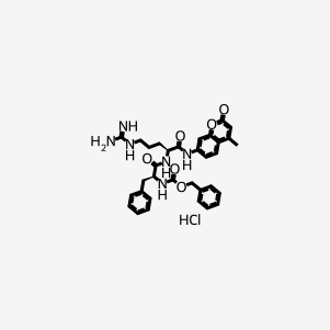 Cc1cc(=O)oc2cc(NC(=O)[C@H](CCCNC(=N)N)NC(=O)[C@H](Cc3ccccc3)NC(=O)OCc3ccccc3)ccc12.Cl